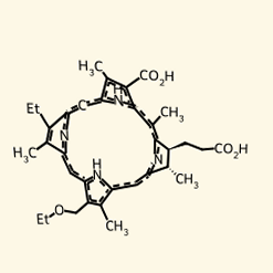 CCOCc1c(C)c2cc3nc(c(C)c4[nH]c(cc5nc(cc1[nH]2)C(C)=C5CC)c(C)c4C(=O)O)[C@@H](CCC(=O)O)[C@@H]3C